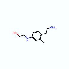 Cc1cc(NCCO)ccc1CCN